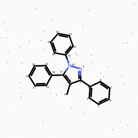 Cc1c(-c2ccccc2)nn(-c2ccccc2)c1-c1ccccc1